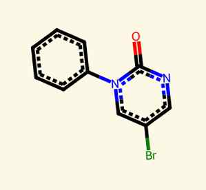 O=c1ncc(Br)cn1-c1ccccc1